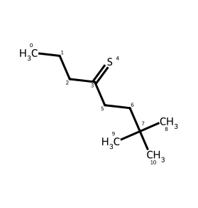 CCCC(=S)CCC(C)(C)C